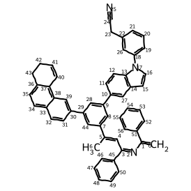 C=C(/N=C(\C=C(/C)c1cc(-c2ccc3c(ccn3-c3cccc(CC#N)c3)c2)cc(-c2ccc3ccc4c(c3c2)C=CCC4)c1)c1ccccc1)c1ccccc1